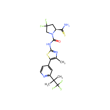 Cc1nc(NC(=O)N2CC(F)(F)C[C@H]2C(N)=S)sc1-c1ccnc(C(C)(C)C(F)(F)F)c1